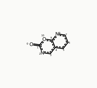 O=c1ncc2cccnc2o1